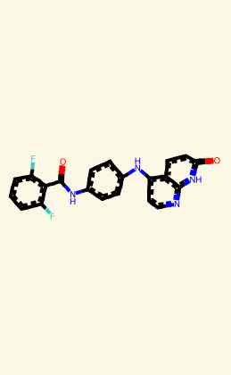 O=C(Nc1ccc(Nc2ccnc3[nH]c(=O)ccc23)cc1)c1c(F)cccc1F